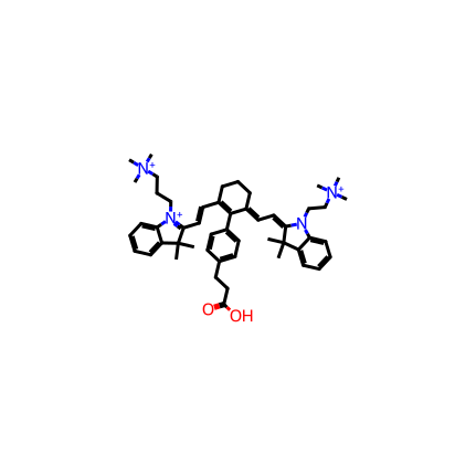 CC1(C)C(/C=C/C2=C(c3ccc(CCC(=O)O)cc3)C(=C/C=C3/N(CC[N+](C)(C)C)c4ccccc4C3(C)C)/CCC2)=[N+](CCC[N+](C)(C)C)c2ccccc21